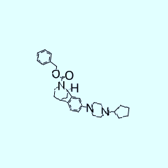 O=C(OCc1ccccc1)N1CCC2C[C@@H]1c1cc(N3CCN(C4CCCC4)CC3)ccc12